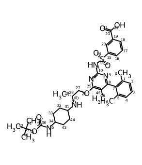 Cc1cccc(C)c1-c1nc(NS(=O)(=O)c2cccc(C(=O)O)c2)nc(OC[C@@H](C)NC2CCC(NC(=O)OC(C)(C)C)CC2)c1C